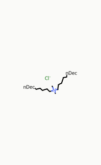 CCCCCCCCCCCCCCC[N+](C)(C)CCCCCCCCCCCCCCC.[Cl-]